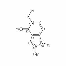 CCn1ccc2c(cc(Br)n2C)c1=O